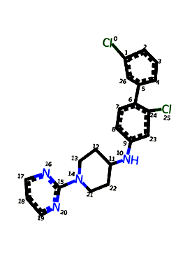 Clc1cccc(-c2ccc(NC3CCN(c4ncccn4)CC3)cc2Cl)c1